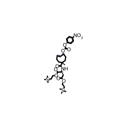 C[C@@]1(C(=O)N[C@@H](CC(=O)OCC[Si](C)(C)C)C(=O)OCC[Si](C)(C)C)CC/C=C/[C@H](OC(=O)Oc2ccc([N+](=O)[O-])cc2)CC1